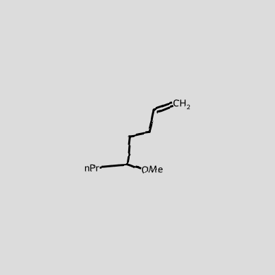 C=CCCC(CCC)OC